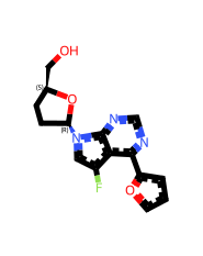 OC[C@@H]1CC[C@H](n2cc(F)c3c(-c4ccco4)ncnc32)O1